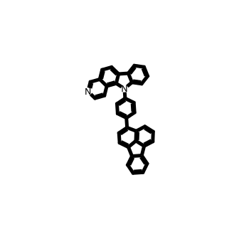 c1ccc2c(c1)-c1cccc3c(-c4ccc(-n5c6ccccc6c6ccc7cnccc7c65)cc4)ccc-2c13